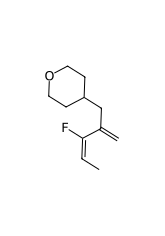 C=C(CC1CCOCC1)/C(F)=C\C